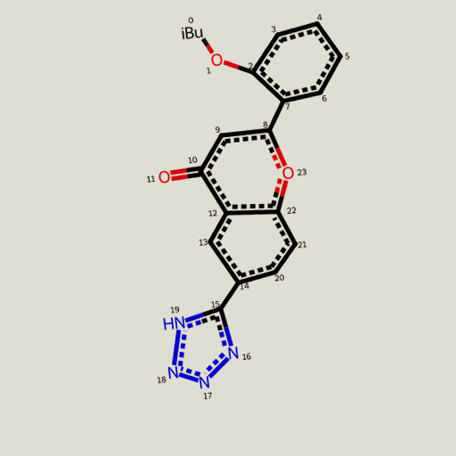 CCC(C)Oc1ccccc1-c1cc(=O)c2cc(-c3nnn[nH]3)ccc2o1